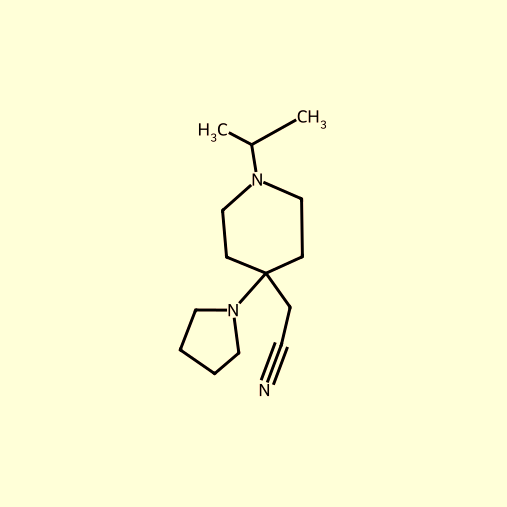 CC(C)N1CCC(CC#N)(N2CCCC2)CC1